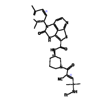 C=C(C)/C=C\C(=C(C)C)N1C(=O)Nc2c(C(=O)N[C@@H]3CCCN(C(=O)/C(C#N)=C/C(C)(C)NCC)C3)sc3nccc1c23